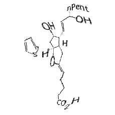 CCCCC[C@H](O)/C=C/[C@@H]1[C@H]2C/C(=C/CCCC(=O)O)O[C@H]2C[C@H]1O.c1ccsc1